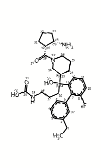 CCc1cccc(-c2c(F)cccc2[C@](O)(CCCNC(=O)O)[C@@H]2CCCN(C(=O)[C@@H]3CCC[C@@H]3N)C2)c1